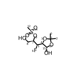 CC1(C)O[C@H]([C@@H](F)[C@@H](CO)OS(C)(=O)=O)[C@H](O)O1